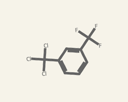 FC(F)(F)c1cccc(C(Cl)(Cl)Cl)c1